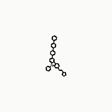 C1=CC(/C=C/c2ccc3c4cc(C5=CC=C(c6ccc(-c7ccccc7)cc6)CC5)ccc4n(-c4ccccc4)c3c2)=CC1